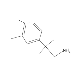 Cc1ccc(C(C)(C)CN)cc1C